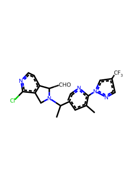 Cc1cc(C(C)N2Cc3c(ccnc3Cl)C2C=O)cnc1-n1cc(C(F)(F)F)cn1